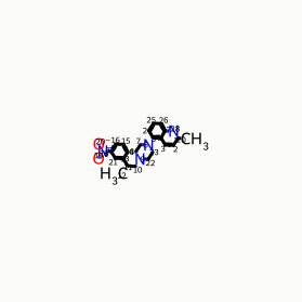 Cc1ccc2c(N3CCN(CC(C)c4cccc([N+](=O)[O-])c4)CC3)cccc2n1